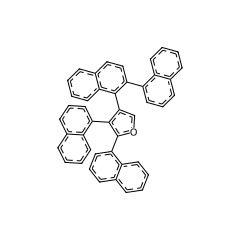 c1ccc2c(-c3ccc4ccccc4c3-c3coc(-c4cccc5ccccc45)c3-c3cccc4ccccc34)cccc2c1